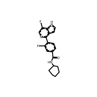 O=C(NC1CCCCC1)c1ccc(-c2ncc(F)c3[nH]ccc23)c(F)c1